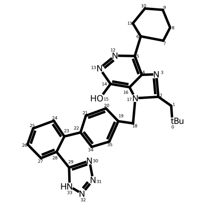 CC(C)(C)Cc1nc2c(C3CCCCC3)nnc(O)c2n1Cc1ccc(-c2ccccc2-c2nnn[nH]2)cc1